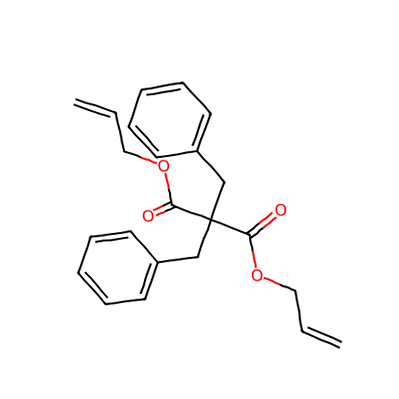 C=CCOC(=O)C(Cc1ccccc1)(Cc1ccccc1)C(=O)OCC=C